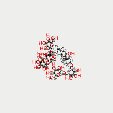 CC(C1CC(O)[C@@]2(C)C(CC=C3[C@@H]2CCC(OCC2(C)CC(COCC4(C)OC(CO)[C@@H](O)C(O)[C@@H]4O)[C@@H](O)C(O)[C@@H]2O)C3(C)C)[C@H]1C)[C@H](C)CCC(OC[C@@]1(C)OC(COCC2(C)OC(CO)[C@H](O)[C@H](O)C2O)[C@H](O)[C@H](O)C1O[C@@]1(C)OC(CO)[C@H](O)[C@H](O)C1O)C(C)(C)O